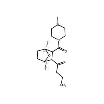 CN1CCN(C(=O)C2C(C(=O)CCC(Cl)(Cl)Cl)[C@H]3CC[C@@H]2O3)CC1